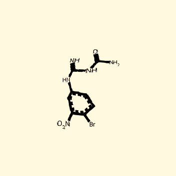 N=C(NC(N)=O)Nc1ccc(Br)c([N+](=O)[O-])c1